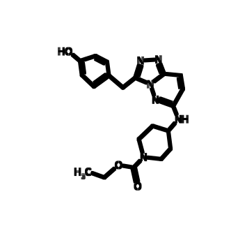 CCOC(=O)N1CCC(Nc2ccc3nnc(Cc4ccc(O)cc4)n3n2)CC1